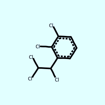 Clc1cccc(C(Cl)C(Cl)Cl)c1Cl